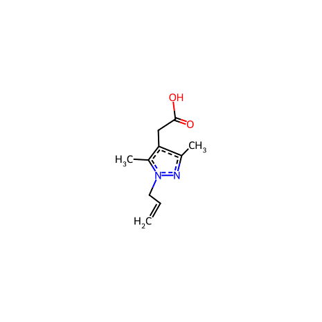 C=CCn1nc(C)c(CC(=O)O)c1C